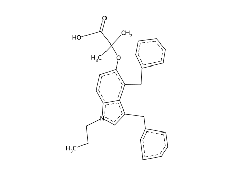 CCCn1cc(Cc2ccccc2)c2c(Cc3ccccc3)c(OC(C)(C)C(=O)O)ccc21